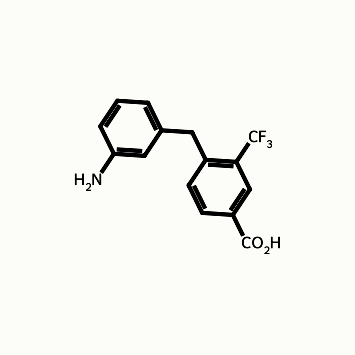 Nc1cccc(Cc2ccc(C(=O)O)cc2C(F)(F)F)c1